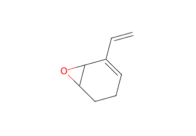 C=CC1=CCCC2OC12